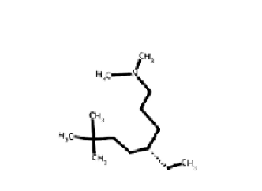 CC[C@@H](CCCN(C)C)CCC(C)(C)C